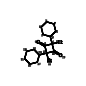 CCC1(C2CCCCC2)C(=O)C(CC)(C2CCCCC2)C1=O